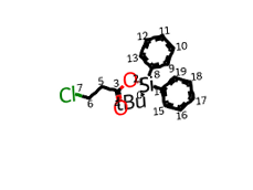 CC(C)(C)[Si](OC(=O)CCCl)(c1ccccc1)c1ccccc1